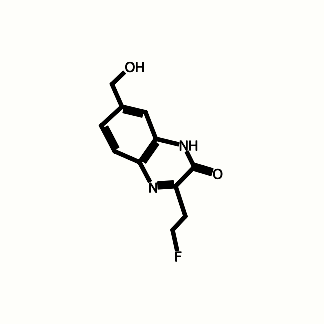 O=c1[nH]c2cc(CO)ccc2nc1CCF